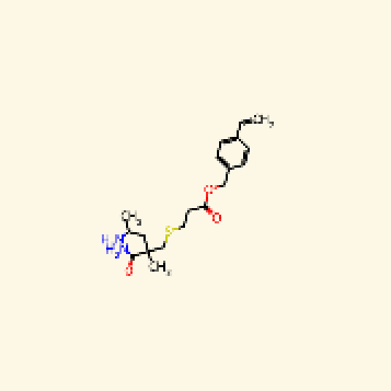 C=Cc1ccc(COC(=O)CCSCC(C)(CC(C)N)C(N)=O)cc1